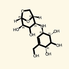 OCC1=C[C@@H](N[C@H]2C(O)[C@@H](O)[C@@H]3OC[C@H]2O3)[C@H](O)C(O)[C@@H]1O